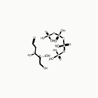 O=CC[C@H](O)[C@H](O)CO.O=P(O)(O)OP(=O)(O)OP(=O)(O)OP(=O)(O)O